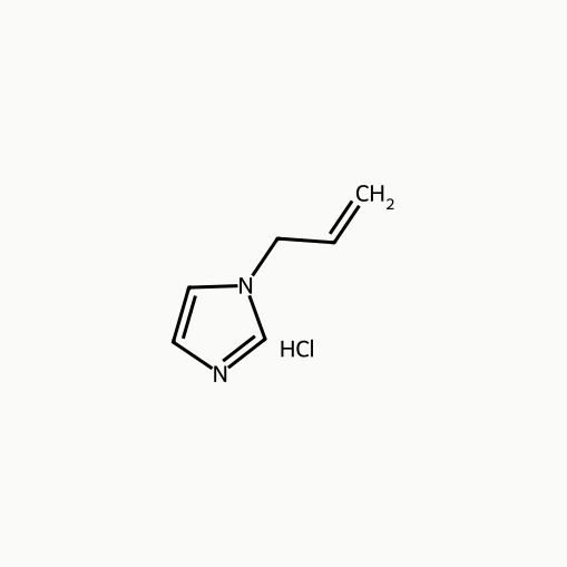 C=CCn1ccnc1.Cl